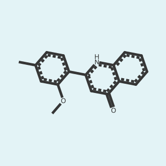 COc1cc(C)ccc1-c1cc(=O)c2ccccc2[nH]1